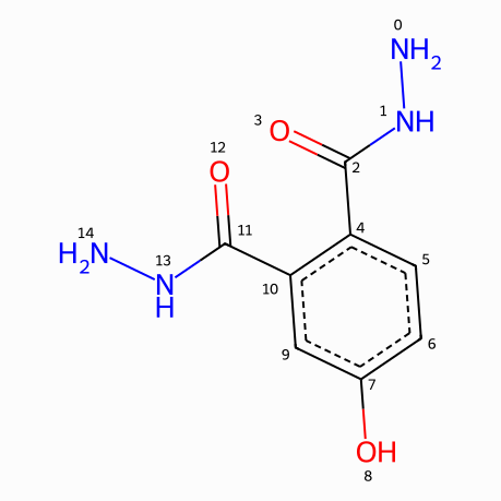 NNC(=O)c1ccc(O)cc1C(=O)NN